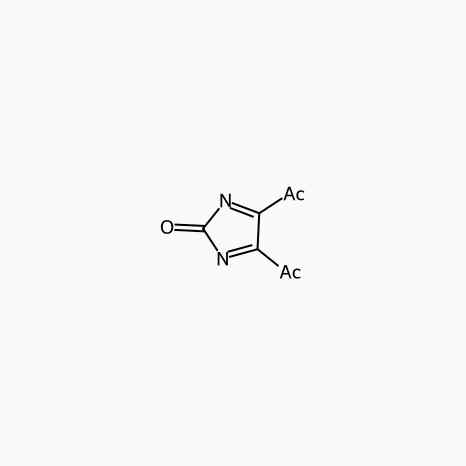 CC(=O)C1=NC(=O)N=C1C(C)=O